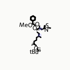 CO[C@@H](C(=O)O[C@@H](C/C=C(/C)CCC[C@H](C)CO[Si](C)(C)C(C)(C)C)/C(C)=C/c1csc(C)n1)c1ccccc1